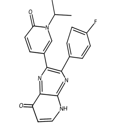 CC(C)n1cc(-c2nc3c(=O)cc[nH]c3nc2-c2ccc(F)cc2)ccc1=O